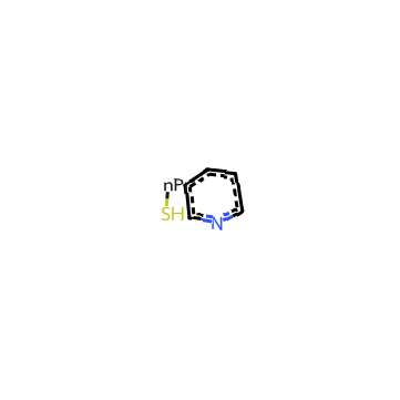 CCCS.c1ccncc1